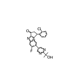 CC(C)(O)c1ncc(-c2cn3c4c(nc3cc2F)C(=O)C[C@H]4c2ccccc2Cl)cn1